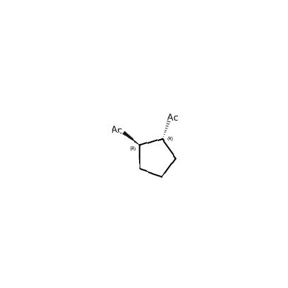 CC(=O)[C@@H]1CCC[C@H]1C(C)=O